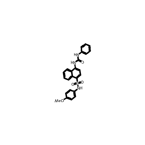 COc1ccc(NS(=O)(=O)c2ccc(NC(=O)Nc3ccccc3)c3ccccc23)cc1